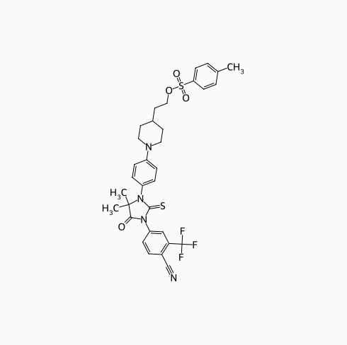 Cc1ccc(S(=O)(=O)OCCC2CCN(c3ccc(N4C(=S)N(c5ccc(C#N)c(C(F)(F)F)c5)C(=O)C4(C)C)cc3)CC2)cc1